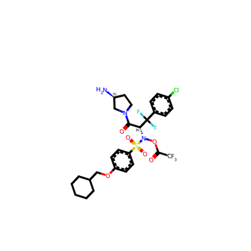 N[C@H]1CCN(C(=O)[C@@H](N(OC(=O)C(F)(F)F)S(=O)(=O)c2ccc(OCC3CCCCC3)cc2)C(F)(F)c2ccc(Cl)cc2)C1